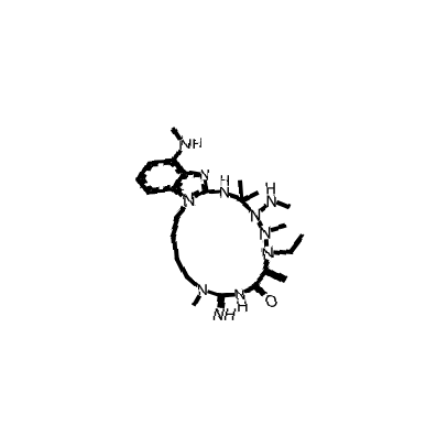 C=C1C(=O)NC(=N)N(C)CCCCn2c(nc3c(NC)cccc32)NC(C)(C)N(NC)N(C)N1CC